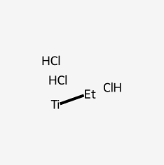 C[CH2][Ti].Cl.Cl.Cl